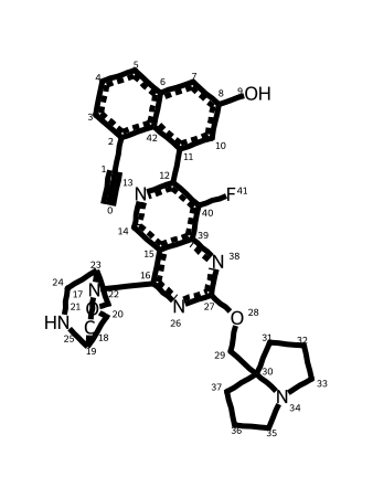 C#Cc1cccc2cc(O)cc(-c3ncc4c(N5CC6COCC5CN6)nc(OCC56CCCN5CCC6)nc4c3F)c12